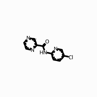 O=C(Nc1ccc(Cl)cn1)c1[c]nccn1